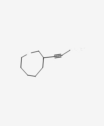 CCOC(=O)C#CC1CCCCCCC1